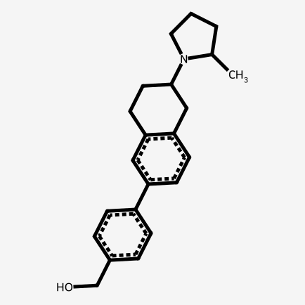 CC1CCCN1C1CCc2cc(-c3ccc(CO)cc3)ccc2C1